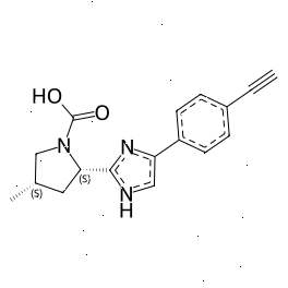 C#Cc1ccc(-c2c[nH]c([C@@H]3C[C@H](C)CN3C(=O)O)n2)cc1